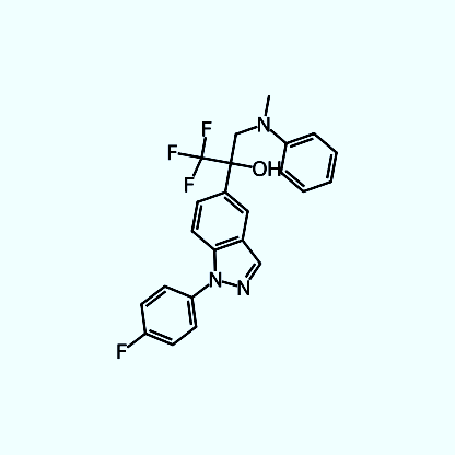 CN(CC(O)(c1ccc2c(cnn2-c2ccc(F)cc2)c1)C(F)(F)F)c1ccccc1